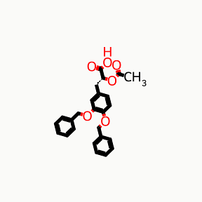 CC(=O)O[C@H](Cc1ccc(OCc2ccccc2)c(OCc2ccccc2)c1)C(=O)O